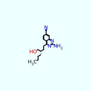 CCCC[C@H](CO)CCc1nc(N)nc2cc(C#N)ccc12